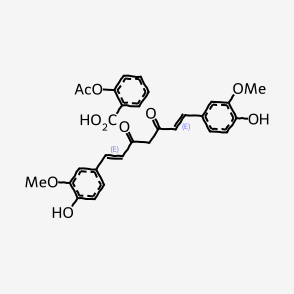 CC(=O)Oc1ccccc1C(=O)O.COc1cc(/C=C/C(=O)CC(=O)/C=C/c2ccc(O)c(OC)c2)ccc1O